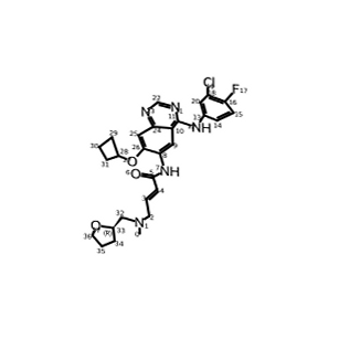 CN(CC=CC(=O)Nc1cc2c(Nc3ccc(F)c(Cl)c3)ncnc2cc1OC1CCC1)C[C@H]1CCCO1